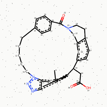 Cc1c2ccc3c1nnn3CCCCCc1ccc(cc1)C(=O)N1CCc3ccc(cc3C1)C2CC(=O)O